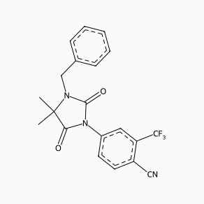 CC1(C)C(=O)N(c2ccc(C#N)c(C(F)(F)F)c2)C(=O)N1Cc1ccccc1